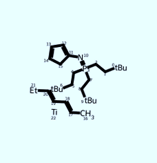 CC(C)(C)CCP(CCC(C)(C)C)(CCC(C)(C)C)=NC1=CC=CC1.CC=CC=CCC.[Ti]